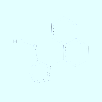 COc1co[c]c1-c1cccc2ccccc12